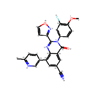 COc1ccc(-n2c(-c3ccon3)nc3c(-c4ccc(C)nc4)cc(C#N)cc3c2=O)cc1F